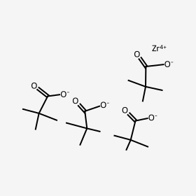 CC(C)(C)C(=O)[O-].CC(C)(C)C(=O)[O-].CC(C)(C)C(=O)[O-].CC(C)(C)C(=O)[O-].[Zr+4]